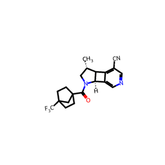 C[C@H]1CN(C(=O)C23CCC(C(F)(F)F)(CC2)C3)[C@@H]2c3cncc(C#N)c3C21